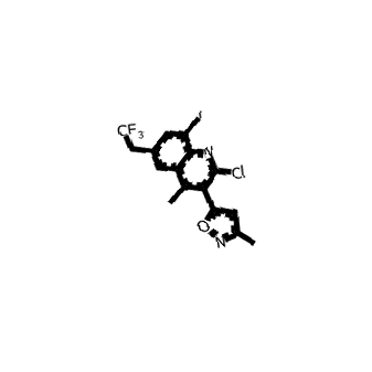 Cc1cc(-c2c(Cl)nc3c(I)cc(CC(F)(F)F)cc3c2C)on1